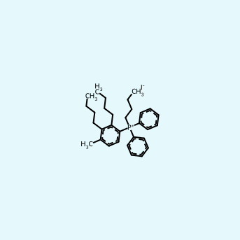 CCCCc1c(C)ccc([P+](CCCC)(c2ccccc2)c2ccccc2)c1CCCC.[I-]